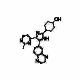 Cc1nccc(-c2nc(C3CCC(O)CC3)[nH]c2-c2ccc3nccnc3c2)n1